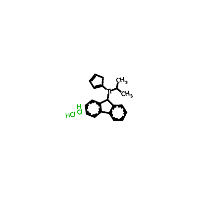 C[CH](C)[Ti]([C]1=CC=CC1)[CH]1c2ccccc2-c2ccccc21.Cl.Cl